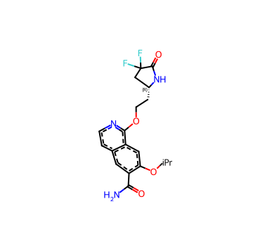 CC(C)Oc1cc2c(OCC[C@@H]3CC(F)(F)C(=O)N3)nccc2cc1C(N)=O